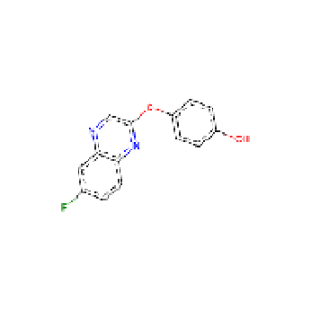 Oc1ccc(Oc2cnc3cc(F)ccc3n2)cc1